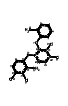 Nc1ccccc1On1p(Oc2ccc(Cl)c(Cl)c2N)npn(Cl)p1Cl